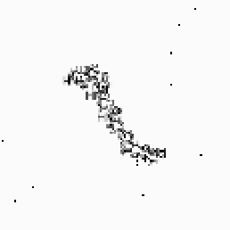 O=C1CCC(Nc2ccc(C3CCN(C4CCC(NC(=O)[C@H]5CC[C@H](Nc6ncc(F)c(-c7cccc(-c8ccc[nH]c8=O)c7)n6)CC5)CC4)CC3)c(F)c2)C(=O)N1